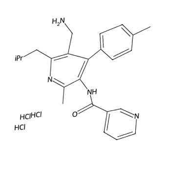 Cc1ccc(-c2c(CN)c(CC(C)C)nc(C)c2NC(=O)c2cccnc2)cc1.Cl.Cl.Cl